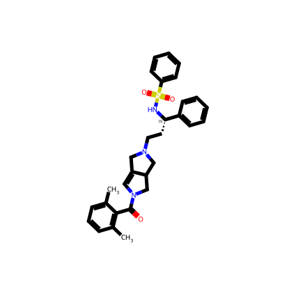 Cc1cccc(C)c1C(=O)N1C=C2CN(CC[C@H](NS(=O)(=O)c3ccccc3)c3ccccc3)CC2C1